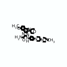 COc1ccc(C#N)c(-c2nc(C(N)=O)c(Nc3ccc(N4CCC(N5CCN(C)CC5)CC4)cc3)nc2NC2CCOCC2)c1